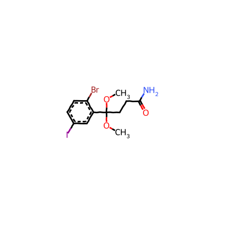 COC(CCC(N)=O)(OC)c1cc(I)ccc1Br